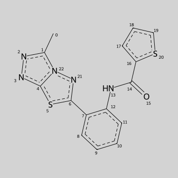 Cc1nnc2sc(-c3ccccc3NC(=O)c3cccs3)nn12